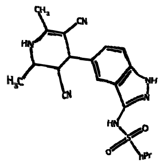 CCCS(=O)(=O)Nc1n[nH]c2ccc(C3C(C#N)=C(C)NC(C)C3C#N)cc12